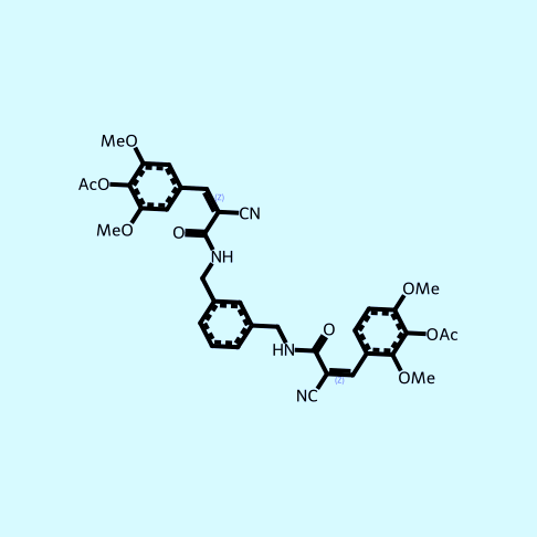 COc1cc(/C=C(/C#N)C(=O)NCc2cccc(CNC(=O)/C(C#N)=C\c3ccc(OC)c(OC(C)=O)c3OC)c2)cc(OC)c1OC(C)=O